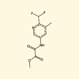 COC(=O)C(=O)Nc1cnc(C(F)F)c(C)c1